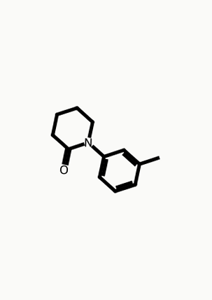 Cc1cccc(N2CCCCC2=O)c1